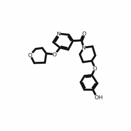 O=C(c1cncc(OC2CCOCC2)c1)N1CCC(Oc2cccc(O)c2)CC1